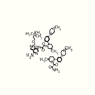 C[C@H]1CC[C@H](c2cccc(N3CCN(C)CC3)c2)N(C(=O)C(=O)Nc2cnc(N)c3cnn(COCC[Si](C)(C)C)c23)C1.C[C@H]1CC[C@H](c2cccc(N3CCN(C)CC3)c2)N(C(=O)C(N)=O)C1